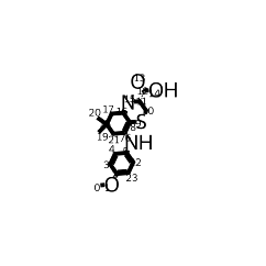 COc1ccc(NC2=C3SC[C@@H](C(=O)O)N=C3CC(C)(C)C2)cc1